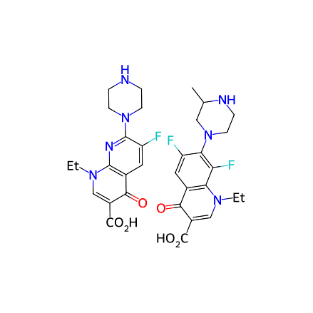 CCn1cc(C(=O)O)c(=O)c2cc(F)c(N3CCNC(C)C3)c(F)c21.CCn1cc(C(=O)O)c(=O)c2cc(F)c(N3CCNCC3)nc21